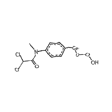 CN(C(=O)C(Cl)Cl)c1cc[c]([Ge][O]OO)cc1